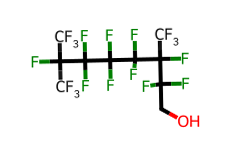 OCC(F)(F)C(F)(C(F)(F)F)C(F)(F)C(F)(F)C(F)(F)C(F)(C(F)(F)F)C(F)(F)F